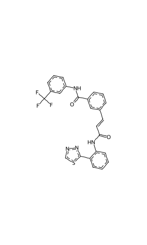 O=C(C=Cc1cccc(C(=O)Nc2cccc(C(F)(F)F)c2)c1)Nc1ccccc1-c1nncs1